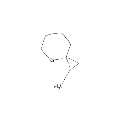 C[C]1CC12CCCCO2